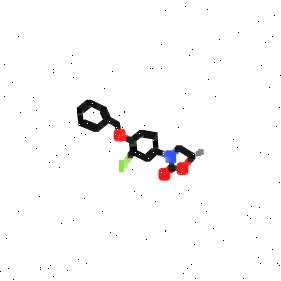 C[C@H]1CN(c2ccc(OCc3ccccc3)c(F)c2)C(=O)O1